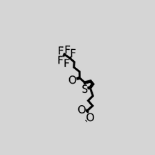 COC(=O)CCCc1ccc(C(=O)CCCC(F)(F)C(F)(F)F)s1